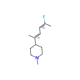 C/C(F)=C\C=C(/C)C1CCN(C)CC1